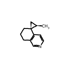 C[C@@H]1C[C@@]12CCCc1cnccc12